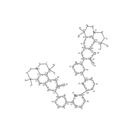 CC1(C)CCN2CCC(C)(C)c3c2c1cc1cc(-c2cccc(-c4cccc(-c5cccc(-c6cccc(-c7cc8cc9c%10c(c8oc7=O)C(C)(C)CCN%10CCC9(C)C)c6)n5)n4)c2)c(=O)oc31